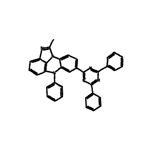 Cc1nc2cccc3c2n1-c1ccc(-c2nc(-c4ccccc4)nc(-c4ccccc4)n2)cc1N3c1ccccc1